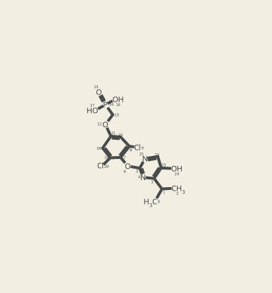 CC(C)c1nc(Oc2c(Cl)cc(OCP(=O)(O)O)cc2Cl)ncc1O